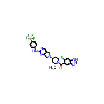 C[C@@H]1C[C@H](N2Cc3cnc(Nc4ccc(S(F)(F)(F)(F)F)cc4)nc3C2)CCN1C(=O)c1cc2nn[nH]c2cc1F